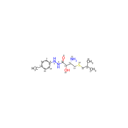 Cc1ccc(NNC(=O)C(O)[C@H](N)CSCC(C)C)cc1